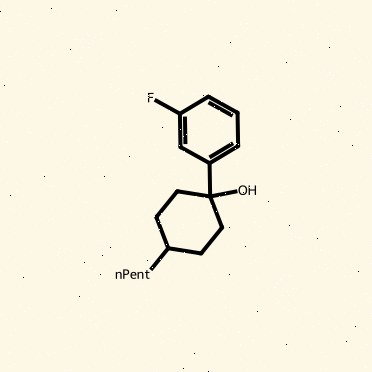 CCCCCC1CCC(O)(c2cccc(F)c2)CC1